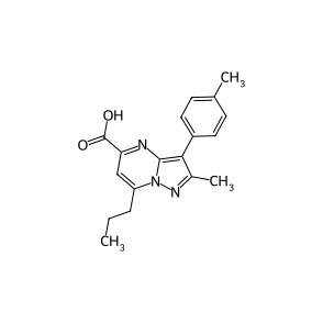 CCCc1cc(C(=O)O)nc2c(-c3ccc(C)cc3)c(C)nn12